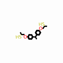 CC(S)COc1ccc(C(C)c2ccc(OCC(C)S)cc2)cc1